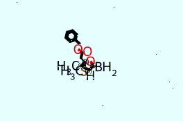 B[C@@H]1O[C@]2(CC(=O)OCc3ccccc3)C(C)[C@@H]1S[C@H]2C